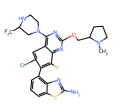 CN1CCCC1COc1nc(N2CCNC(C(F)(F)F)C2)c2cc(Cl)c(-c3cccc4sc(N)nc34)c(F)c2n1